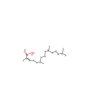 CC(=CCCC(C)CCCC(C)CCCC(C)C)C(=O)O